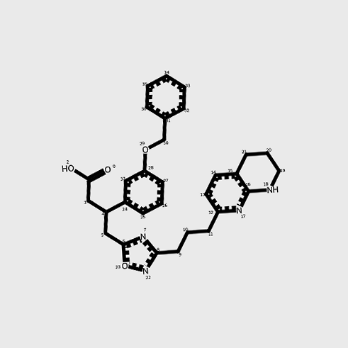 O=C(O)CC(Cc1nc(CCCc2ccc3c(n2)NCCC3)no1)c1cccc(OCc2ccccc2)c1